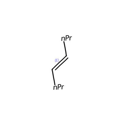 [CH]CC/C=C/CC[CH2]